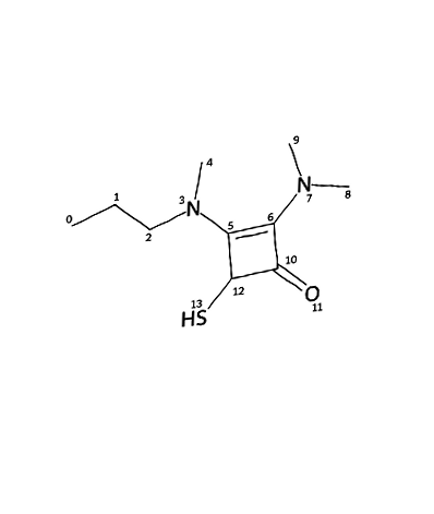 CCCN(C)C1=C(N(C)C)C(=O)C1S